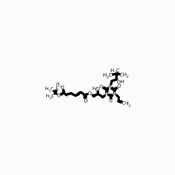 C=CCn1c(=O)n(CC(O)COC(=O)CCCCC(=O)OC(C)(C)C)c(=O)n(CC(O)C(C)(C)C)c1=O